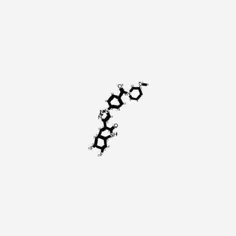 CO[C@@H]1CCCN(C(=O)c2ccc(-n3cc(-c4cc5cc(F)c(F)cc5[nH]c4=O)nn3)cc2)C1